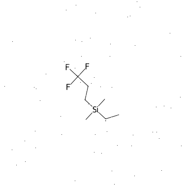 C[CH][Si](C)(C)CCC(F)(F)F